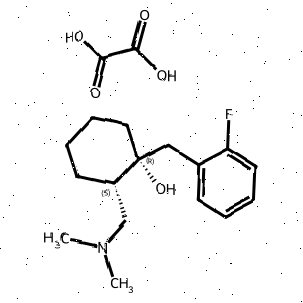 CN(C)C[C@@H]1CCCC[C@@]1(O)Cc1ccccc1F.O=C(O)C(=O)O